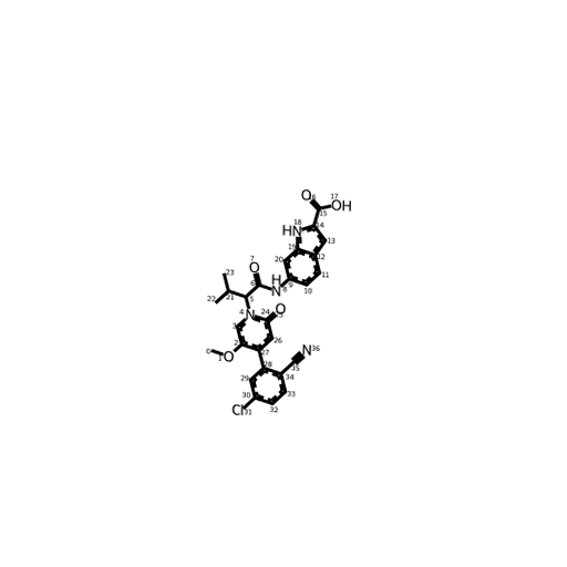 COc1cn(C(C(=O)Nc2ccc3cc(C(=O)O)[nH]c3c2)C(C)C)c(=O)cc1-c1cc(Cl)ccc1C#N